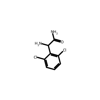 NC(=O)C(N)c1c(Cl)cccc1Cl